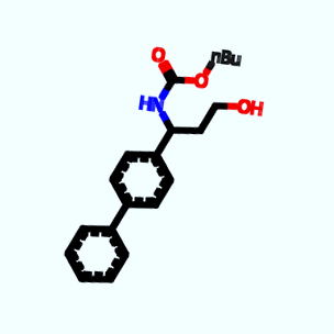 CCCCOC(=O)NC(CCO)c1ccc(-c2ccccc2)cc1